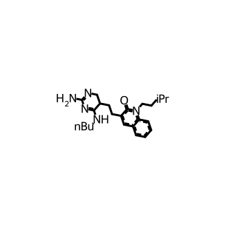 CCCCNC1=NC(N)=NCC1CCc1cc2ccccc2n(CCC(C)C)c1=O